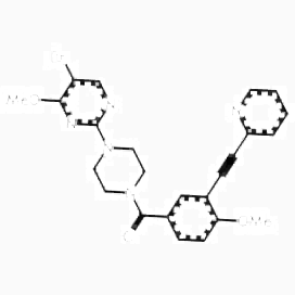 COc1ccc(C(=O)N2CCN(c3ncc(Br)c(OC)n3)CC2)cc1C#Cc1ccccn1